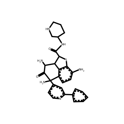 Nc1ccc2c3c1SC(C(=O)NC1CCCNC1)C3C(N)C(=O)C2(N)c1ccnc(-c2ccccc2)c1